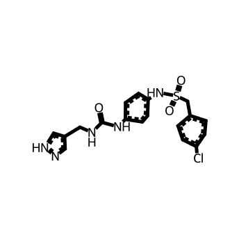 O=C(NCc1cn[nH]c1)Nc1ccc(NS(=O)(=O)Cc2ccc(Cl)cc2)cc1